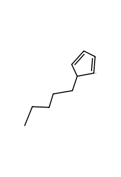 CCCCCC1[C]=CC=C1